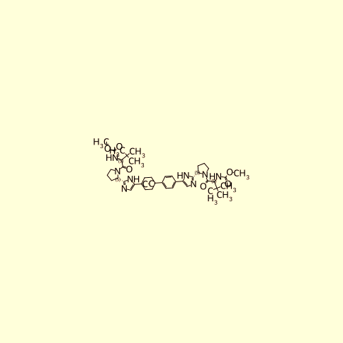 COC(=O)N[C@H](C(=O)N1CCC[C@H]1c1ncc(-c2ccc(C34CCC(c5cnc([C@@H]6CCCN6C(=O)[C@@H](NC(=O)OC)C(C)(C)C)[nH]5)(CC3)CC4)cc2)[nH]1)C(C)(C)C